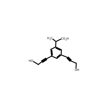 CC(C(=O)O)c1cc(C#CCO)cc(C#CCO)c1